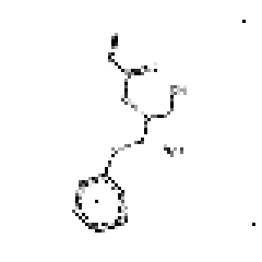 C=CC(=O)OC(CO)COc1ccccc1.O